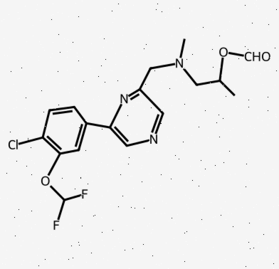 CC(CN(C)Cc1cncc(-c2ccc(Cl)c(OC(F)F)c2)n1)OC=O